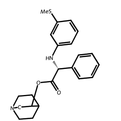 CSc1cccc(N[C@@H](C(=O)OC2CN3CCC2CC3)c2ccccc2)c1